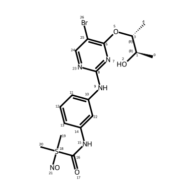 C[C@@H](O)[C@@H](C)Oc1nc(Nc2cccc(NC(=O)S(C)(C)N=O)c2)ncc1Br